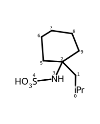 CC(C)CC1(NS(=O)(=O)O)CCCCC1